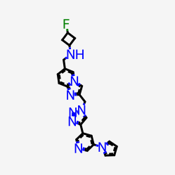 FC1CC(NCc2ccc3nc(Cn4cc(-c5cncc(-n6cccc6)c5)nn4)cn3c2)C1